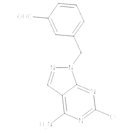 Nc1nc(Cl)nc2c1cnn2Cc1cccc(C=O)c1